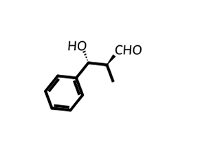 C[C@H](C=O)[C@@H](O)c1ccccc1